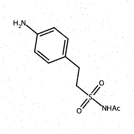 CC(=O)NS(=O)(=O)CCc1ccc(N)cc1